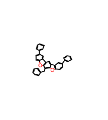 c1ccc(Cc2c3oc4ccc(-c5ccccc5)cc4c3cc3c2oc2ccc(-c4ccccc4)cc23)cc1